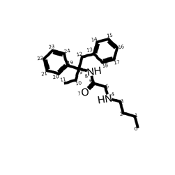 CCCCNCC(=O)NC(CC)(Cc1ccccc1)c1ccccc1